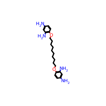 Nc1ccc(OCCCCCCCCCCOc2ccc(N)cc2N)c(N)c1